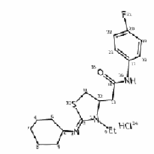 CCN1/C(=N/C2CCCCC2)SCC1CC(=O)Nc1ccc(F)cc1.Cl